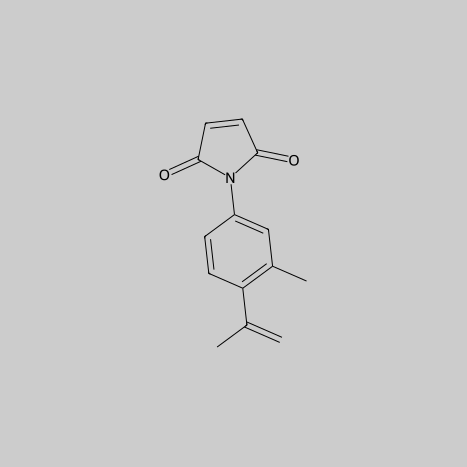 C=C(C)c1ccc(N2C(=O)C=CC2=O)cc1C